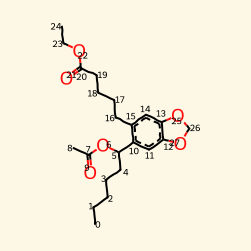 CCCCCC(OC(C)=O)c1cc2c(cc1CCCCC(=O)OCC)OCO2